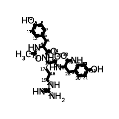 CC(=O)NC(Cc1ccc(O)cc1)C(=O)N[C@@H](CCCNC(=N)N)C(=O)NC(Cc1ccc(O)cc1)C(N)=O